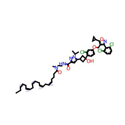 CC/C=C\C/C=C\C/C=C\C/C=C\C/C=C\CCCC(=O)N(C)CCNC(=O)c1cc(C2CC(O)(c3ccc(OCc4c(-c5c(Cl)cccc5Cl)noc4C4CC4)cc3Cl)C2)n(C(C)C)n1